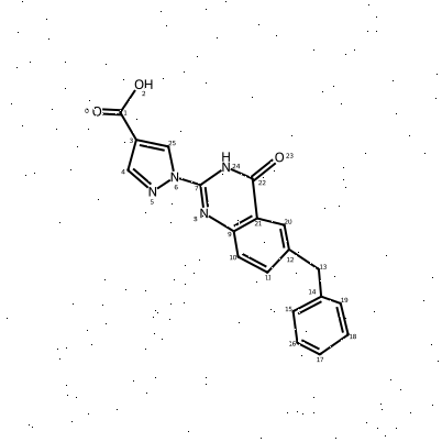 O=C(O)c1cnn(-c2nc3ccc(Cc4ccccc4)cc3c(=O)[nH]2)c1